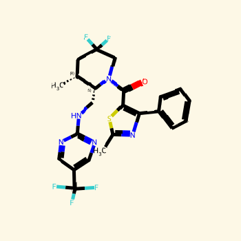 Cc1nc(-c2ccccc2)c(C(=O)N2CC(F)(F)C[C@@H](C)[C@H]2CNc2ncc(C(F)(F)F)cn2)s1